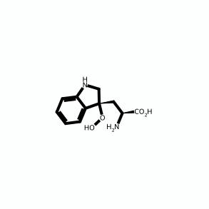 N[C@@H](C[C@]1(OO)CNc2ccccc21)C(=O)O